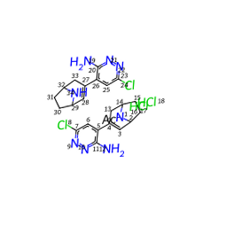 CC(=O)N1C2C=C(c3cc(Cl)nnc3N)CC1CC2.Cl.Cl.Nc1nnc(Cl)cc1C1=CC2CCC(C1)N2